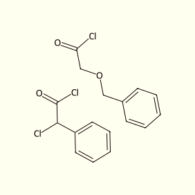 O=C(Cl)C(Cl)c1ccccc1.O=C(Cl)COCc1ccccc1